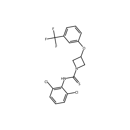 FC(F)(F)c1cccc(OC2CN(C(=S)Nc3c(Cl)cccc3Cl)C2)c1